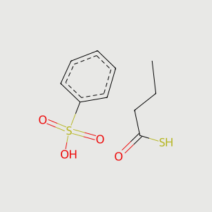 CCCC(=O)S.O=S(=O)(O)c1ccccc1